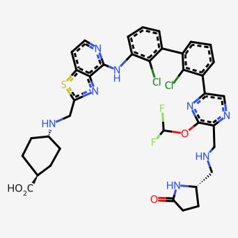 O=C1CC[C@@H](CNCc2ncc(-c3cccc(-c4cccc(Nc5nccc6sc(CN[C@H]7CC[C@H](C(=O)O)CC7)nc56)c4Cl)c3Cl)nc2OC(F)F)N1